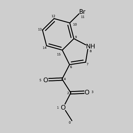 COC(=O)C(=O)c1c[nH]c2c(Br)cccc12